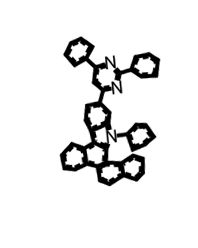 c1ccc(-c2cc(-c3ccc4c5c6ccccc6c6ccc7ccccc7c6c5n(-c5ccccc5)c4c3)nc(-c3ccccc3)n2)cc1